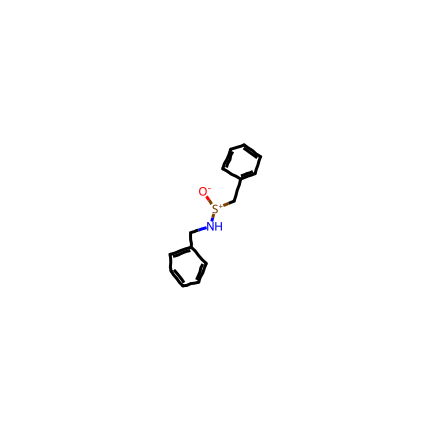 [O-][S+](Cc1ccccc1)NCc1ccccc1